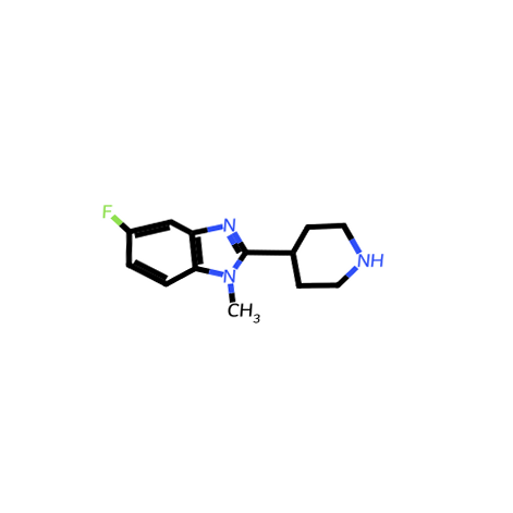 Cn1c(C2CCNCC2)nc2cc(F)ccc21